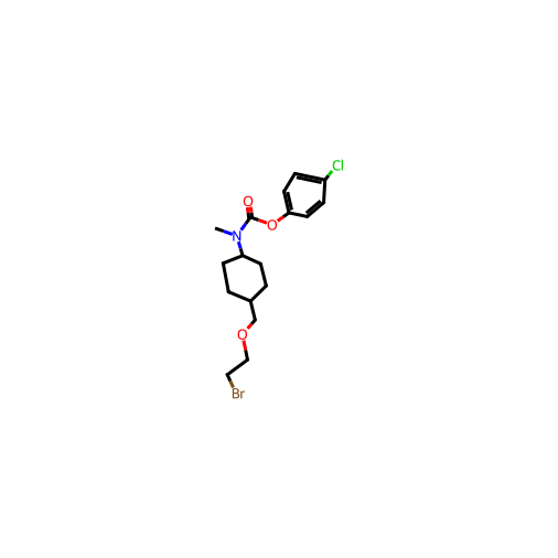 CN(C(=O)Oc1ccc(Cl)cc1)C1CCC(COCCBr)CC1